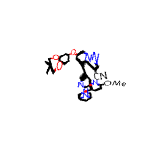 COc1ccc(CN2C3CC2CN(c2ccc(-c4cc(OC5CCC6(CC5)OCC(C)(C)CO6)cn5ncc(C#N)c45)cn2)C3)cn1